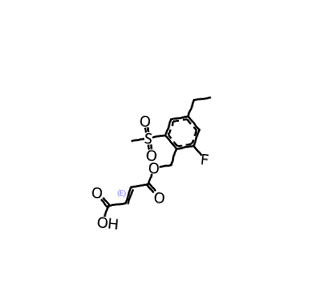 CCc1cc(F)c(COC(=O)/C=C/C(=O)O)c(S(C)(=O)=O)c1